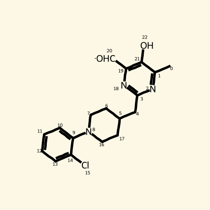 Cc1nc(CC2CCN(c3ccccc3Cl)CC2)nc([C]=O)c1O